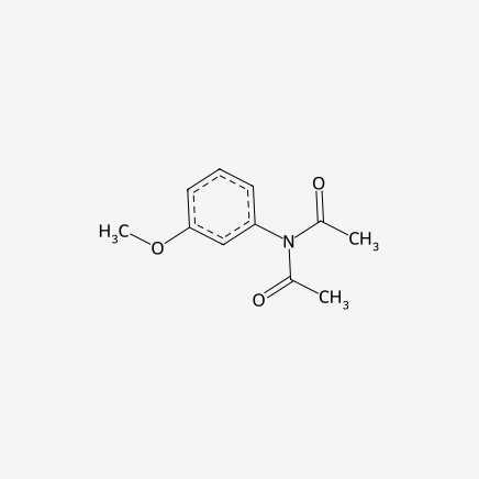 COc1cccc(N(C(C)=O)C(C)=O)c1